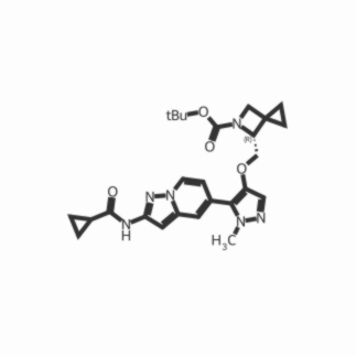 Cn1ncc(OC[C@@H]2N(C(=O)OC(C)(C)C)CC23CC3)c1-c1ccn2nc(NC(=O)C3CC3)cc2c1